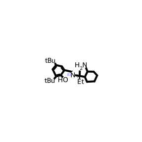 CC[C@](C)(/N=C/c1cc(C(C)(C)C)cc(C(C)(C)C)c1O)C1CCCCC1N